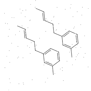 CC=CCCc1cccc(C)c1.CC=CCCc1cccc(C)c1